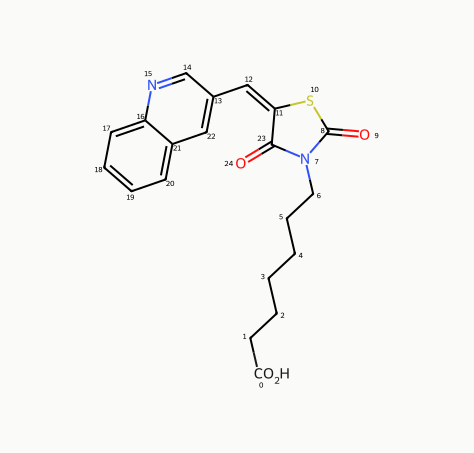 O=C(O)CCCCCCN1C(=O)SC(=Cc2cnc3ccccc3c2)C1=O